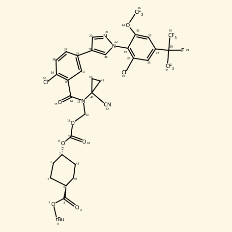 CC(C)(C)OC(=O)[C@H]1CC[C@H](OC(=O)OCN(C(=O)c2cc(-c3cnn(-c4c(Cl)cc(C(F)(C(F)(F)F)C(F)(F)F)cc4OC(F)(F)F)c3)ccc2Cl)C2(C#N)CC2)CC1